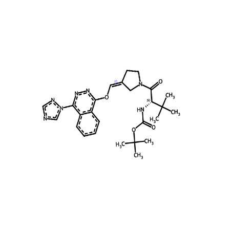 CC(C)(C)OC(=O)N[C@H](C(=O)N1CC/C(=C/Oc2nnc(-n3cncn3)c3ccccc23)C1)C(C)(C)C